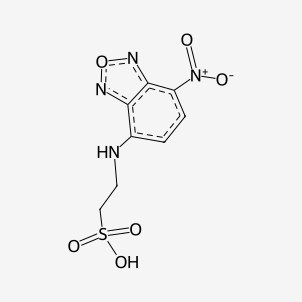 O=[N+]([O-])c1ccc(NCCS(=O)(=O)O)c2nonc12